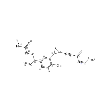 C=C/C=N\C(=C)C#CC1CC1c1cc(C(C=O)CNC(=O)NC)nnc1Cl